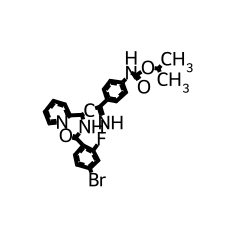 CC(C)OC(=O)Nc1ccc(C(=N)CC(NC(=O)c2ccc(Br)cc2F)c2ccccn2)cc1